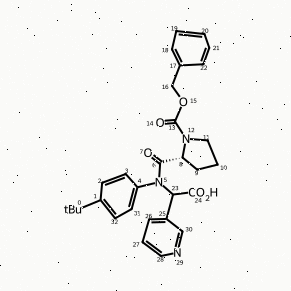 CC(C)(C)c1ccc(N(C(=O)[C@H]2CCCN2C(=O)OCc2ccccc2)C(C(=O)O)c2cccnc2)cc1